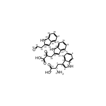 N[C@@H](Cc1c[nH]c2ccccc12)C(=O)O.O=C(O)C(=O)Cc1cc2ccccc2[nH]1.O=CCc1cc2ccccc2[nH]1